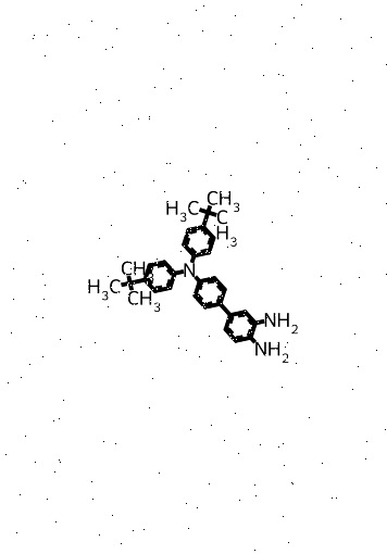 CC(C)(C)c1ccc(N(c2ccc(-c3ccc(N)c(N)c3)cc2)c2ccc(C(C)(C)C)cc2)cc1